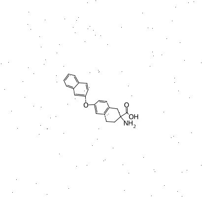 NC1(C(=O)O)CCc2cc(Oc3ccc4ccccc4c3)ccc2C1